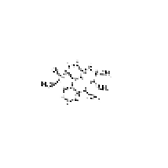 CCc1ccccc1-c1cc(SC(C)CC)ccc1C(=O)SC